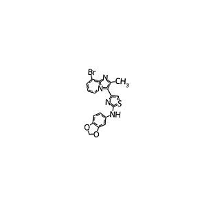 Cc1nc2c(Br)cccn2c1-c1csc(Nc2ccc3c(c2)OCO3)n1